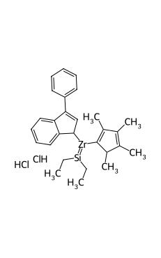 CC[Si](CC)=[Zr]([C]1=C(C)C(C)=C(C)C1C)[CH]1C=C(c2ccccc2)c2ccccc21.Cl.Cl